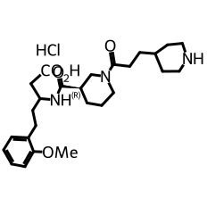 COc1ccccc1CCC(CC(=O)O)NC(=O)[C@@H]1CCCN(C(=O)CCC2CCNCC2)C1.Cl